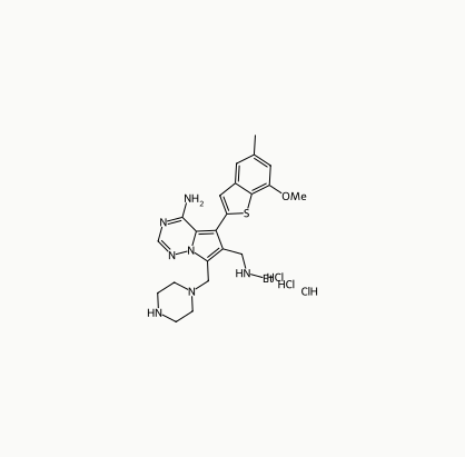 CCNCc1c(-c2cc3cc(C)cc(OC)c3s2)c2c(N)ncnn2c1CN1CCNCC1.Cl.Cl.Cl